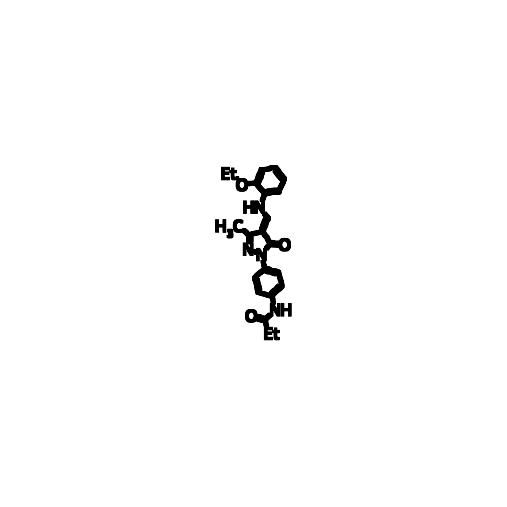 CCOc1ccccc1NC=C1C(=O)N(c2ccc(NC(=O)CC)cc2)N=C1C